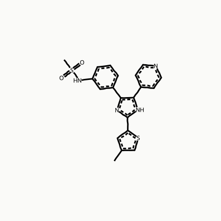 Cc1csc(-c2nc(-c3cccc(NS(C)(=O)=O)c3)c(-c3ccncc3)[nH]2)c1